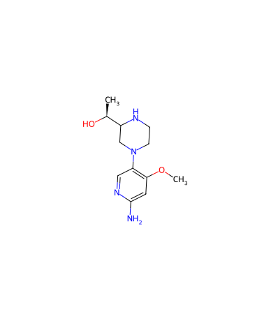 COc1cc(N)ncc1N1CCNC([C@H](C)O)C1